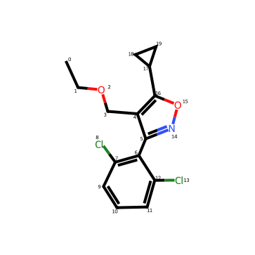 CCOCc1c(-c2c(Cl)cccc2Cl)noc1C1CC1